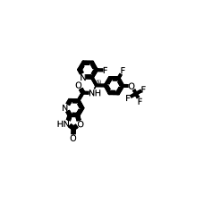 O=C(N[C@@H](c1ccc(OC(F)(F)F)c(F)c1)c1ncccc1F)c1cnc2[nH]c(=O)oc2c1